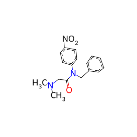 CN(C)CC(=O)N(Cc1ccccc1)c1ccc([N+](=O)[O-])cc1